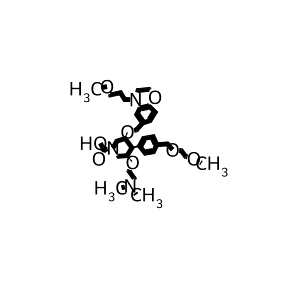 COCCCN1CCOc2ccc(CO[C@H]3CN(C(=O)O)C[C@@H](OCCN(C)C)[C@@H]3c3ccc(COCCOC)cc3)cc21